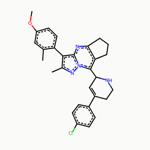 COc1ccc(-c2c(C)nn3c(C4C=C(c5ccc(Cl)cc5)CCN4)c4c(nc23)CCC4)c(C)c1